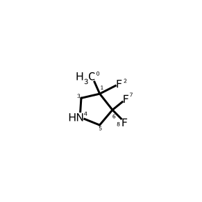 CC1(F)CNCC1(F)F